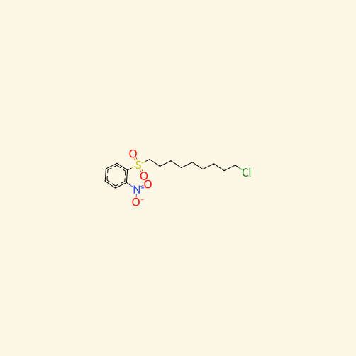 O=[N+]([O-])c1ccccc1S(=O)(=O)CCCCCCCCCCl